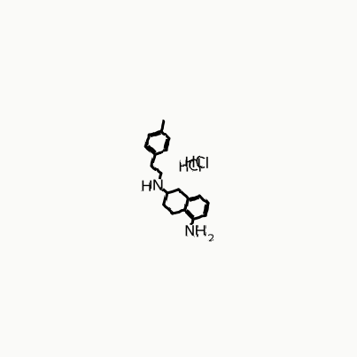 Cc1ccc(CCNC2CCc3c(N)cccc3C2)cc1.Cl.Cl